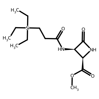 CC[Si](CC)(CC)CCC(=O)N[C@H]1C(=O)N[C@H]1C(=O)OC